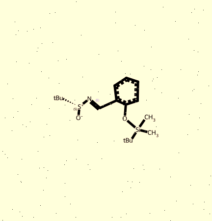 CC(C)(C)[S@@+]([O-])/N=C/c1ccccc1O[Si](C)(C)C(C)(C)C